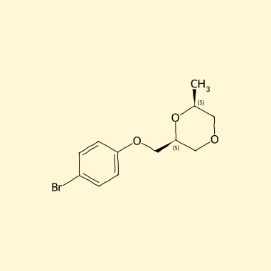 C[C@H]1COC[C@@H](COc2ccc(Br)cc2)O1